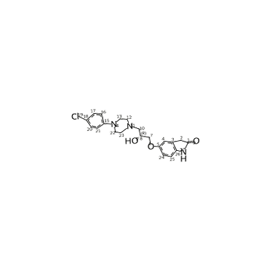 O=C1Cc2cc(OC[C@H](O)CN3CCN(c4ccc(Cl)cc4)CC3)ccc2N1